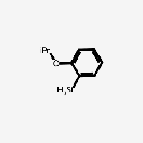 CC(C)Oc1ccccc1[SiH3]